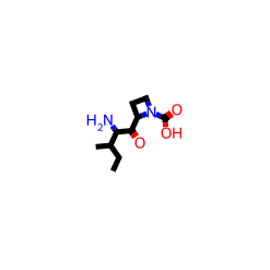 CCC(C)C(N)C(=O)C1CCN1C(=O)O